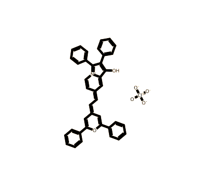 OC1=C(c2ccccc2)C(c2ccccc2)=[n+]2ccc(=CC=C3C=C(c4ccccc4)OC(c4ccccc4)=C3)cc21.[O-][Cl+3]([O-])([O-])[O-]